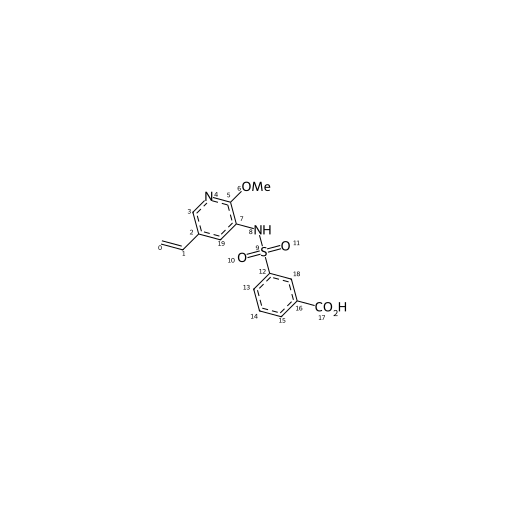 C=Cc1cnc(OC)c(NS(=O)(=O)c2cccc(C(=O)O)c2)c1